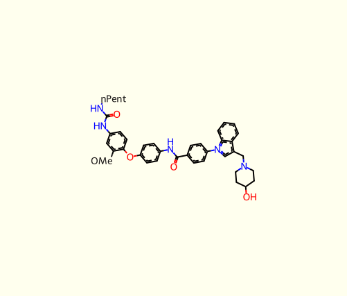 CCCCCNC(=O)Nc1ccc(Oc2ccc(NC(=O)c3ccc(-n4cc(CN5CCC(O)CC5)c5ccccc54)cc3)cc2)c(OC)c1